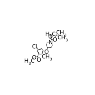 COC(=O)c1cc(Cl)cc(OC2CCN(C(=O)OC(C)(C)C)CC2)c1C